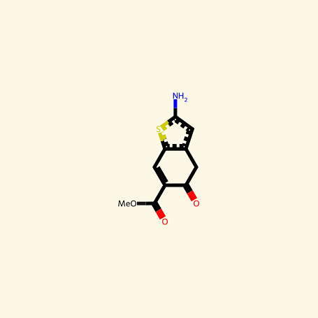 COC(=O)C1=Cc2sc(N)cc2CC1=O